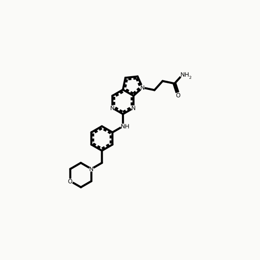 NC(=O)CCn1ccc2cnc(Nc3cccc(CN4CCOCC4)c3)nc21